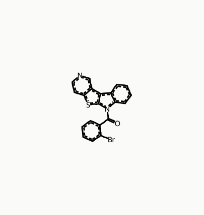 O=C(c1ccccc1Br)n1c2ccccc2c2c3cnccc3sc21